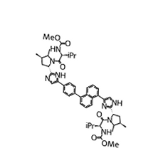 COC(=O)N[C@H](C(=O)N1C(C)[C@H](C)C[C@H]1c1nc(-c2cccc3c(-c4ccc(-c5cnc([C@@H]6C[C@@H](C)C(C)N6C(=O)[C@@H](NC(=O)OC)C(C)C)[nH]5)cc4)cccc23)c[nH]1)C(C)C